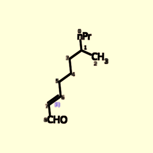 CCCC(C)CCC/C=C/C=O